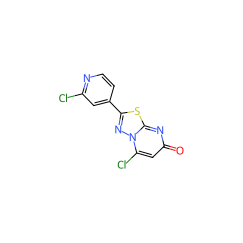 O=c1cc(Cl)n2nc(-c3ccnc(Cl)c3)sc2n1